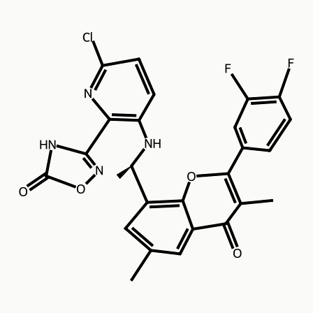 Cc1cc([C@@H](C)Nc2ccc(Cl)nc2-c2noc(=O)[nH]2)c2oc(-c3ccc(F)c(F)c3)c(C)c(=O)c2c1